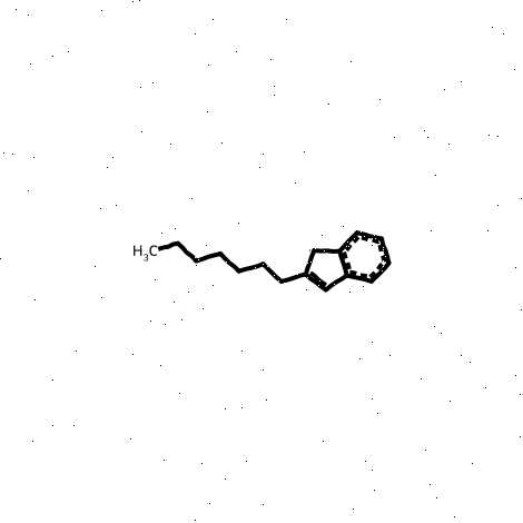 CCCCCCCC1=Cc2ccccc2[CH]1